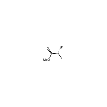 COC(=O)[C@@H](C)C(C)C